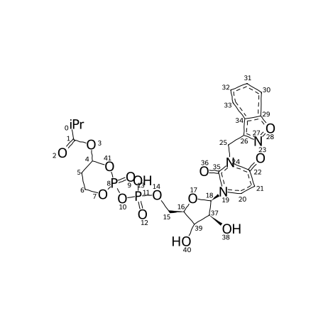 CC(C)C(=O)OC1CCOP(=O)(OP(=O)(O)OC[C@H]2O[C@@H](n3ccc(=O)n(Cc4noc5ccccc45)c3=O)[C@@H](O)C2O)O1